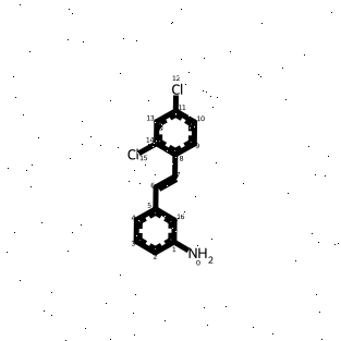 Nc1cccc(/C=C/c2ccc(Cl)cc2Cl)c1